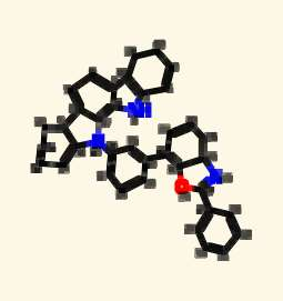 C1=Cc2[nH]c3c(ccc4c5ccccc5n(-c5cccc(-c6cccc7nc(-c8ccccc8)oc67)c5)c43)c2CC1